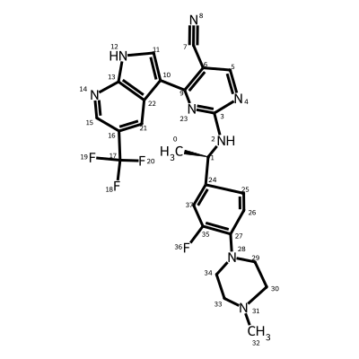 C[C@@H](Nc1ncc(C#N)c(-c2c[nH]c3ncc(C(F)(F)F)cc23)n1)c1ccc(N2CCN(C)CC2)c(F)c1